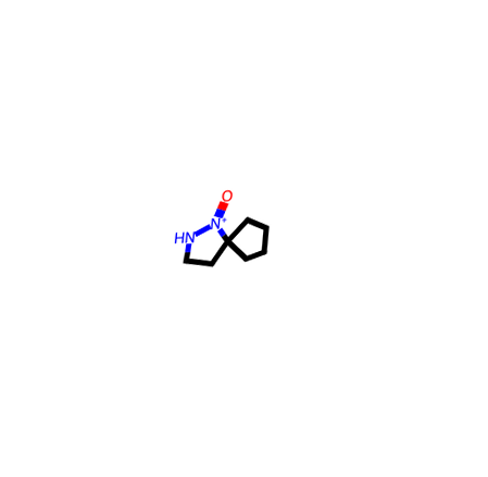 O=[N+]1NCCC12CCCC2